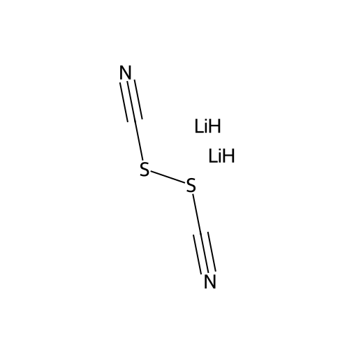 N#CSSC#N.[LiH].[LiH]